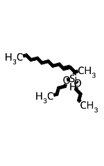 CCCCCCCCC=CC(C)[SiH](OCCCC)OCCCC